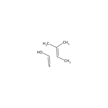 CC=C(C)C.OC=S